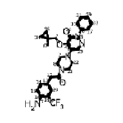 CC1(COc2c(N3CCN(C(=O)Cc4ccc(N)c(C(F)(F)F)c4)CC3)cnn(-c3ccccc3)c2=O)CC1